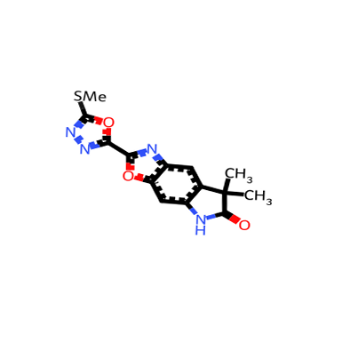 CSc1nnc(-c2nc3cc4c(cc3o2)NC(=O)C4(C)C)o1